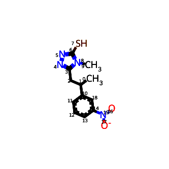 CC(Cc1nnc(S)n1C)c1cccc([N+](=O)[O-])c1